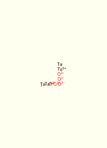 [O-2].[O-2].[O-2].[O-2].[O-2].[Ta+5].[Ta+5].[Ta].[Ta]